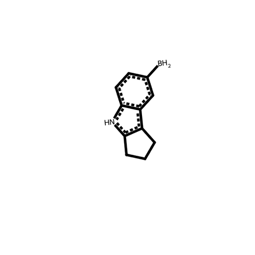 Bc1ccc2[nH]c3c(c2c1)CCC3